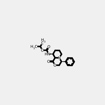 CC(C)OC(=O)N[C@H]1CCCN2C1C(=O)OC[C@@H]2c1ccccc1